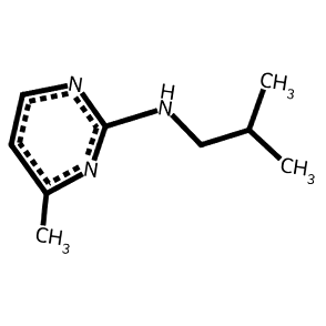 Cc1ccnc(NCC(C)C)n1